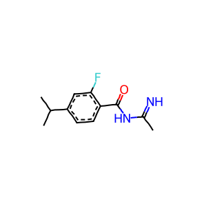 CC(=N)NC(=O)c1ccc(C(C)C)cc1F